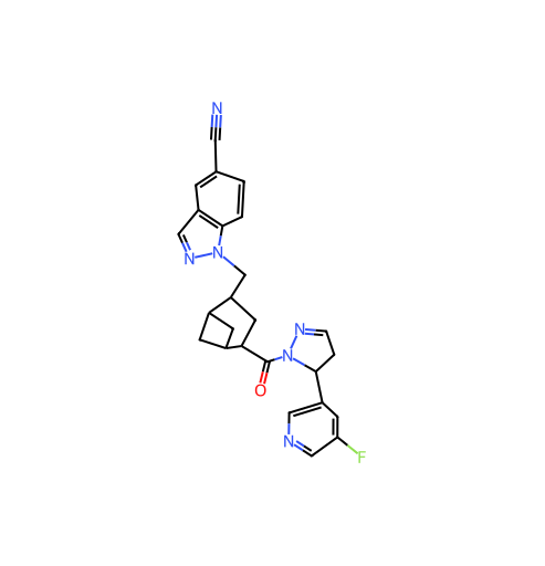 N#Cc1ccc2c(cnn2CC2CC(C(=O)N3N=CCC3c3cncc(F)c3)C3CC2C3)c1